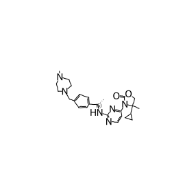 C[C@H](Nc1nccc(N2C(=O)OCC2(C)C2CC2)n1)c1ccc(CN2CCN(C)CC2)cc1